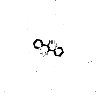 NC(=C(N)c1ccccn1)c1ccccn1